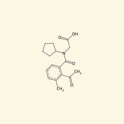 CC(=O)c1c(C)cccc1C(=O)N(CC(=O)O)C1CCCC1